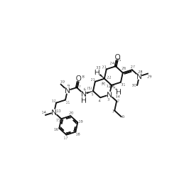 CCCN1C[C@@H](NC(=O)N(C)CCN(C)c2ccccc2)C[C@@H]2CC(=O)C(=CN(C)C)C[C@H]21